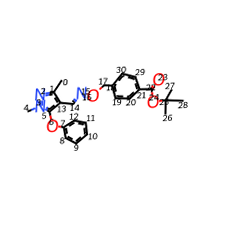 Cc1nn(C)c(Oc2ccccc2)c1C=NOCc1ccc(C(=O)OC(C)(C)C)cc1